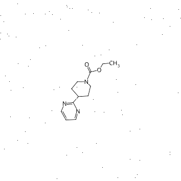 CCOC(=O)N1CCC(c2ncccn2)CC1